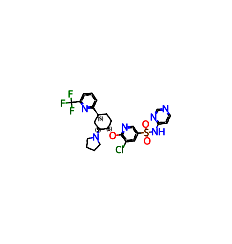 O=S(=O)(Nc1ccncn1)c1cnc(O[C@H]2CC[C@H](c3cccc(C(F)(F)F)n3)C[C@@H]2N2CCCC2)c(Cl)c1